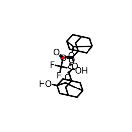 O=C(OCC12CC3CC(CC(O)(C3)C1)C2)C12CC3CC(C1)C(OC(=O)C(F)(F)S(=O)(=O)O)C(C3)C2